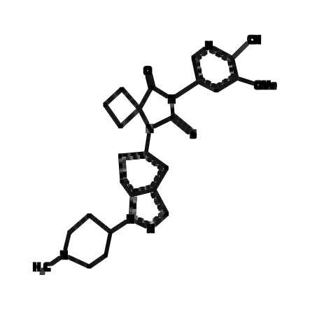 COc1cc(N2C(=O)C3(CCC3)N(c3ccc4c(cnn4C4CCN(C)CC4)c3)C2=S)cnc1C#N